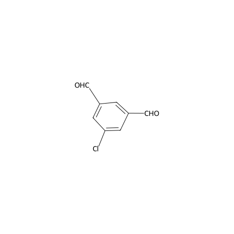 O=Cc1cc(Cl)cc(C=O)c1